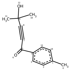 Cc1ccc(C(=O)C#CC(C)(C)O)cc1